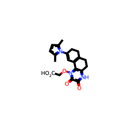 Cc1ccc(C)n1C1=CC2=C(CC1)CCc1[nH]c(=O)c(=O)n(OCC(=O)O)c12